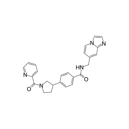 O=C(NCc1ccn2ccnc2c1)c1ccc(C2CCN(C(=O)c3ccccn3)C2)cc1